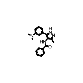 Cc1n[nH]c(-c2cccc(N(C)C)c2)c1NC(=O)c1ccccc1